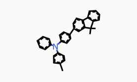 Cc1ccc(N(c2ccccc2)c2ccc(-c3ccc4c(c3)C(C)(C)c3ccccc3-4)cc2)cc1